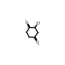 O=C1CCC(=O)C(Cl)C1